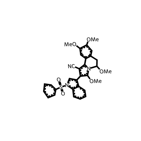 COc1cc2c(cc1OC)-c1c(C#N)c(-c3cn(S(=O)(=O)c4ccccc4)c4ccccc34)c(OC)n1C(OC)C2